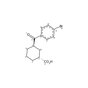 O=C(O)[C@@H]1CCC[C@@H](C(=O)c2ccc(Br)cc2)C1